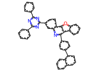 c1ccc(-c2nc(-c3ccccc3)nc(-c3ccc4c(c3)nc(-c3ccc(-c5cccc6ccccc56)cc3)c3c5ccccc5oc43)n2)cc1